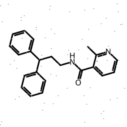 Cc1ncccc1C(=O)NCCC(c1ccccc1)c1ccccc1